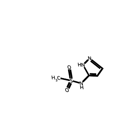 CS(=O)(=O)Nc1ccn[nH]1